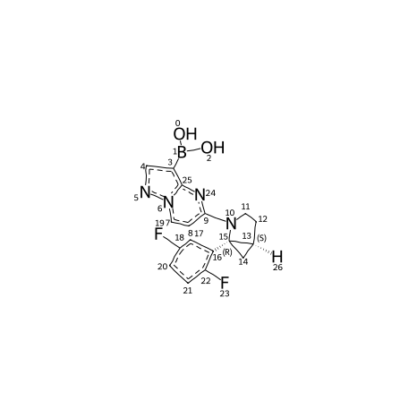 OB(O)c1cnn2ccc(N3CC[C@H]4C[C@]43c3cc(F)ccc3F)nc12